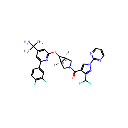 CC(C)(N)c1cc(OC2[C@H]3CN(C(=O)c4cn(-c5ncccn5)nc4C(F)F)C[C@@H]23)nc(-c2ccc(F)c(F)c2)c1